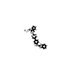 COC(=O)C1(COc2ncc(-c3ccc(Nc4nc5ccccc5s4)cc3)cn2)CCCC1